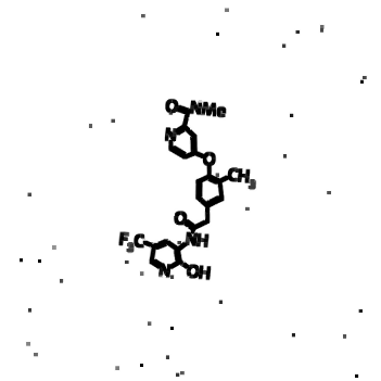 CNC(=O)c1cc(Oc2ccc(CC(=O)Nc3cc(C(F)(F)F)cnc3O)cc2C)ccn1